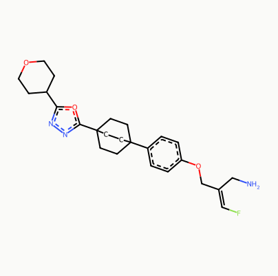 NC/C(=C\F)COc1ccc(C23CCC(c4nnc(C5CCOCC5)o4)(CC2)CC3)cc1